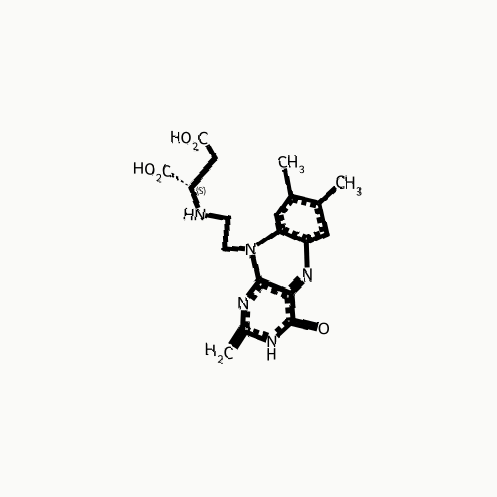 C=c1nc2c(c(=O)[nH]1)=Nc1cc(C)c(C)cc1N2CCN[C@@H](CC(=O)O)C(=O)O